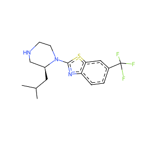 CC(C)C[C@H]1CNCCN1c1nc2ccc(C(F)(F)F)cc2s1